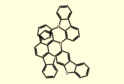 c1ccc(-n2c3ccccc3c3cccc(N(c4ccc5sc6ccccc6c5c4)c4cccc5ccc6c7ccccc7sc6c45)c32)cc1